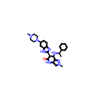 CC(Nc1c(-c2nc3ccc(N4CCN(C)CC4)cc3[nH]2)c(=O)[nH]c2cn(C)nc12)c1ccccc1